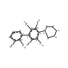 Fc1cccc(-c2c(F)c(F)c(N3CCCCC3)c(F)c2F)c1F